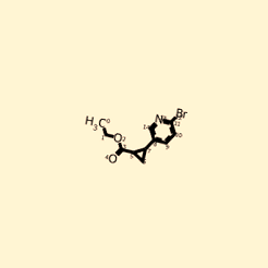 CCOC(=O)C1CC1c1ccc(Br)nc1